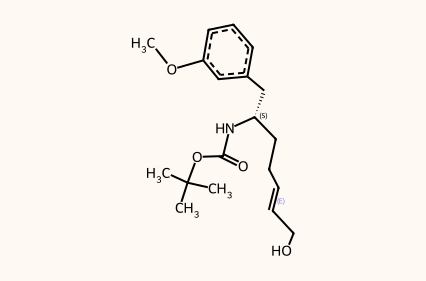 COc1cccc(C[C@H](CC/C=C/CO)NC(=O)OC(C)(C)C)c1